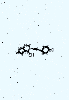 Cc1cc2c(O)n(C#Cc3ccc(Cl)cc3)cnc-2n1